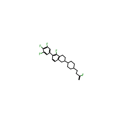 C=C(F)CCC1CCC(C2CCc3c(ccc(-c4cc(F)c(F)c(F)c4)c3F)C2)CC1